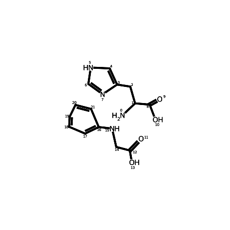 NC(Cc1c[nH]cn1)C(=O)O.O=C(O)CNc1ccccc1